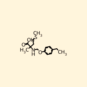 CCc1ccc(OCNC(C)(CCSC)C(=O)O)cc1